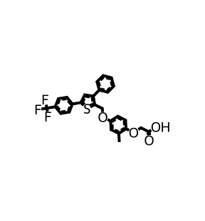 Cc1cc(OCc2sc(-c3ccc(C(F)(F)F)cc3)cc2-c2ccccc2)ccc1OCC(=O)O